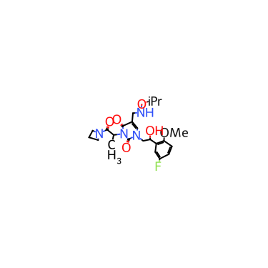 COc1ccc(F)cc1C(O)Cn1cc(CNOC(C)C)c(=O)n(C(C)C(=O)N2CCC2)c1=O